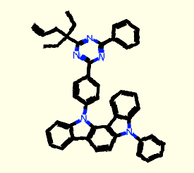 C=CCC(CC)(CC)c1nc(-c2ccccc2)nc(-c2ccc(-n3c4ccccc4c4ccc5c(c6ccccc6n5-c5ccccc5)c43)cc2)n1